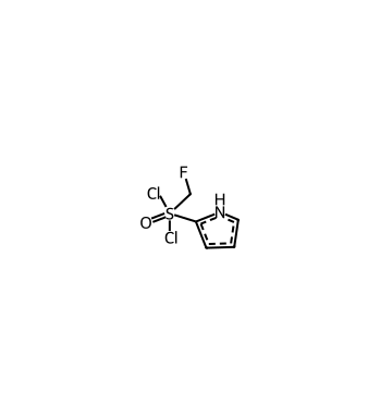 O=S(Cl)(Cl)(CF)c1ccc[nH]1